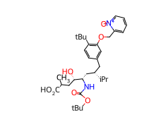 CC(C[C@H](O)[C@H](C[C@H](Cc1ccc(C(C)(C)C)c(OCc2cccc[n+]2[O-])c1)C(C)C)NC(=O)OC(C)(C)C)C(=O)O